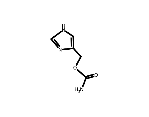 NC(=O)OCc1c[nH]cn1